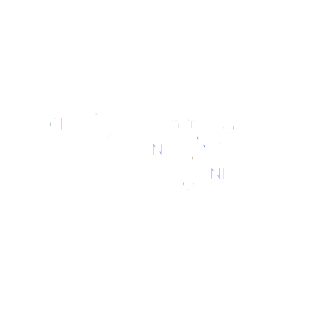 CCCN1C(=O)C(Cc2ccccc2)NC(=O)C12CCN(CCc1ccc(Cl)cc1)CC2